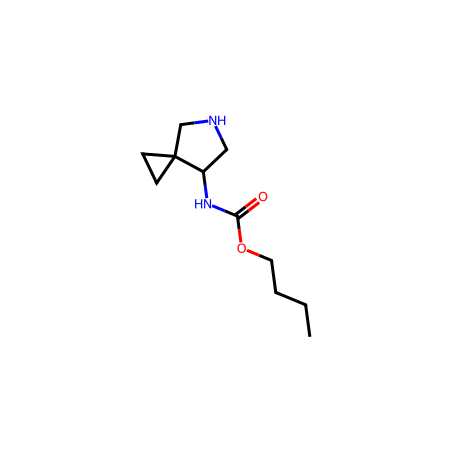 CCCCOC(=O)NC1CNCC12CC2